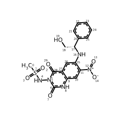 CS(=O)(=O)Nn1c(=O)[nH]c2cc([N+](=O)[O-])c(N[C@H](CO)c3ccccc3)cc2c1=O